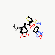 Cc1cc2c(cc1CC(=O)c1sccc1S(=O)(=O)Nc1ccc3nonc3c1)OCO2